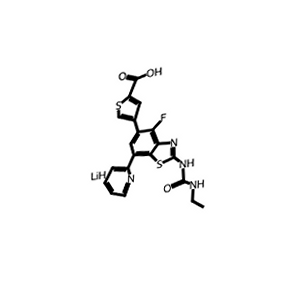 CCNC(=O)Nc1nc2c(F)c(-c3csc(C(=O)O)c3)cc(-c3ccccn3)c2s1.[LiH]